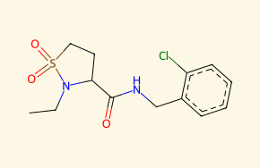 CCN1C(C(=O)NCc2ccccc2Cl)CCS1(=O)=O